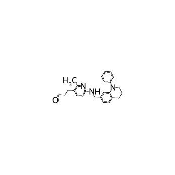 Cc1nc(NCc2ccc3c(c2)N(c2ccccc2)CCC3)ccc1CCC=O